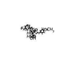 CCOc1ccc(CCC[C@@H](C(=O)N2CCN(c3nccc(CF)n3)CC2)[C@H](O)C(=O)NO)cc1